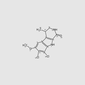 COc1cc2c3c([nH]c2c(Cl)c1Cl)C(=O)NCC3C